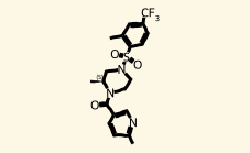 Cc1ccc(C(=O)N2CCN(S(=O)(=O)c3ccc(C(F)(F)F)cc3C)C[C@@H]2C)cn1